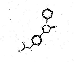 CC(C)Cc1ccc(C2=NN(c3ccccc3)C(=O)C2)cc1